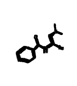 CC(=O)C(=CN(C)C)NC(=O)c1ccccc1